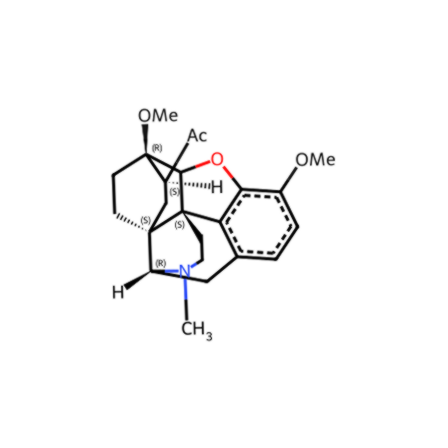 COc1ccc2c3c1OC1[C@@]4(OC)CC[C@@]5(C[C@@H]4C(C)=O)[C@@H](C2)N(C)CC[C@]315